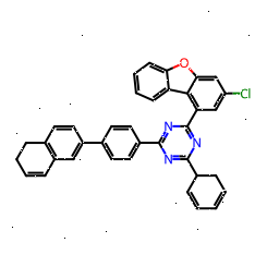 Clc1cc(-c2nc(-c3ccc(-c4ccc5c(c4)C=CCC5)cc3)nc(C3C=CC=CC3)n2)c2c(c1)oc1ccccc12